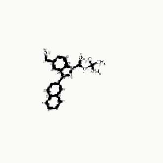 CC(C)(C)OC(=O)n1nc(-c2ccc3ccccc3c2)c2cc(CO)ccc21